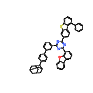 c1ccc(-c2cccc3sc4cc(-c5nc(-c6cccc(-c7ccc(C8C9CC%10CC(C9)CC8C%10)cc7)c6)nc(-c6cccc7c6oc6ccccc67)n5)ccc4c23)cc1